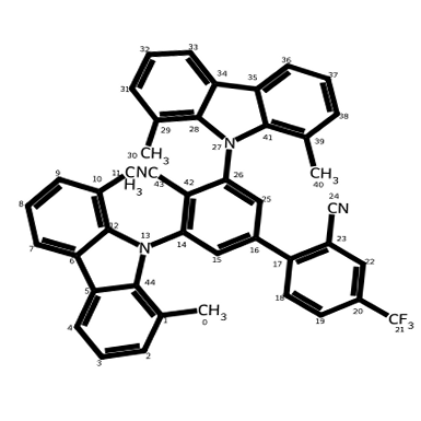 Cc1cccc2c3cccc(C)c3n(-c3cc(-c4ccc(C(F)(F)F)cc4C#N)cc(-n4c5c(C)cccc5c5cccc(C)c54)c3C#N)c12